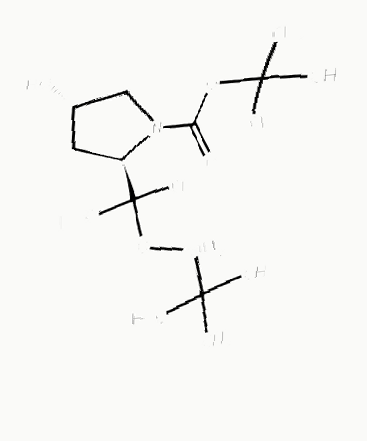 CC(C)(C)OC(=O)N1C[C@@H](O)C[C@@H]1C(C)(C)O[SiH2]C(C)(C)C